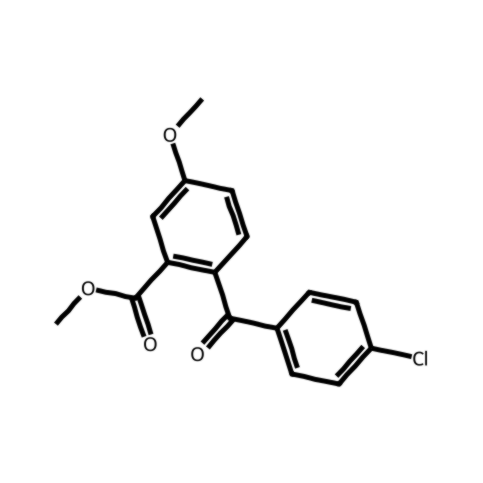 COC(=O)c1cc(OC)ccc1C(=O)c1ccc(Cl)cc1